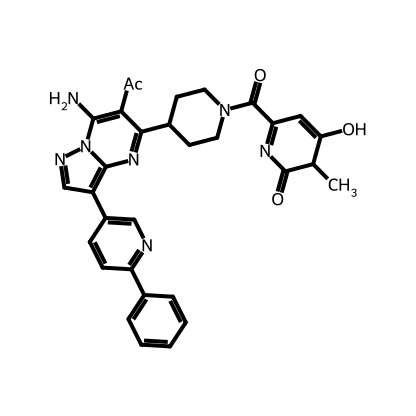 CC(=O)c1c(C2CCN(C(=O)C3=NC(=O)C(C)C(O)=C3)CC2)nc2c(-c3ccc(-c4ccccc4)nc3)cnn2c1N